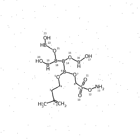 C=C(C)CCOB(OCS(=O)(=O)ON)B(OBO)B(BO)OBO